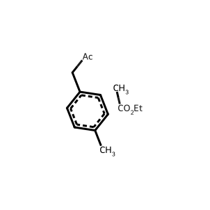 CC(=O)Cc1ccc(C)cc1.CCOC(C)=O